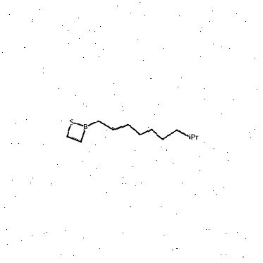 CC(C)CCCCCCCB1CCS1